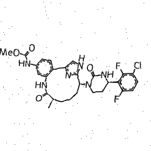 COC(=O)Nc1ccc2c(c1)NC(=O)[C@H](C)CCC[C@H](N1CC[C@H](c3c(F)ccc(Cl)c3F)NC1=O)c1nc-2c[nH]1